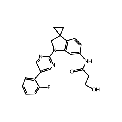 O=C(CCO)Nc1ccc2c(c1)N(c1ncc(-c3ccccc3F)cn1)CC21CC1